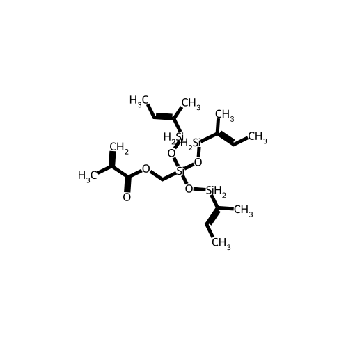 C=C(C)C(=O)OC[Si](O[SiH2]C(C)=CC)(O[SiH2]C(C)=CC)O[SiH2]C(C)=CC